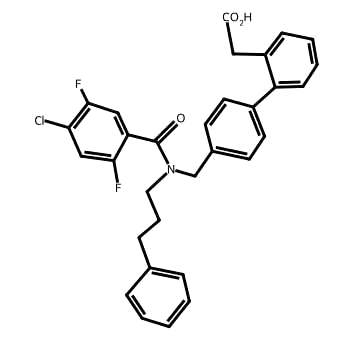 O=C(O)Cc1ccccc1-c1ccc(CN(CCCc2ccccc2)C(=O)c2cc(F)c(Cl)cc2F)cc1